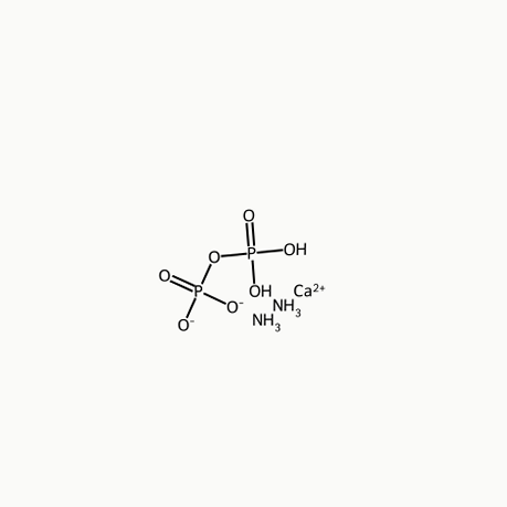 N.N.O=P([O-])([O-])OP(=O)(O)O.[Ca+2]